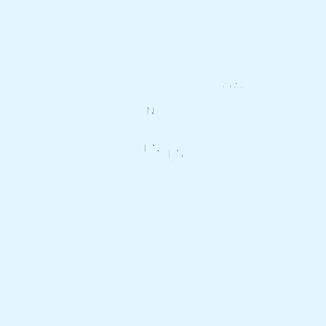 CC(=O)O[C@@H](CN(N)CC1CCCCC1)[C@@H](N)Cc1ccccc1